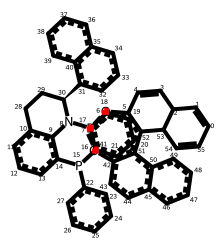 C1=CC2C=Cc3op(N4c5c(cccc5P(c5ccccc5)c5ccccc5)CC[C@H]4c4cccc5ccccc45)oc4ccc5ccccc5c4c3C2C=C1